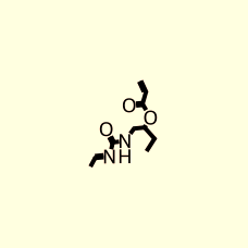 C=CC(=O)OC(CC)CNC(=O)N=CC